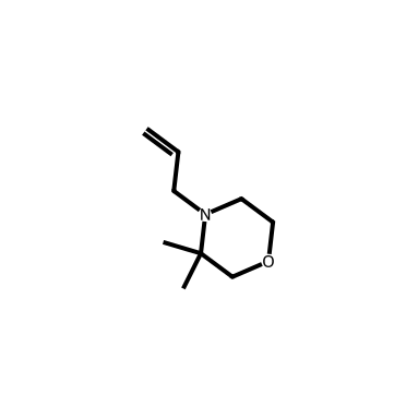 C=CCN1CCOCC1(C)C